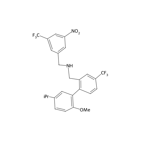 COc1ccc(C(C)C)cc1-c1ccc(C(F)(F)F)cc1CNCc1cc([N+](=O)[O-])cc(C(F)(F)F)c1